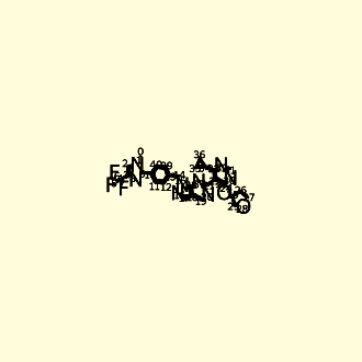 Cn1cc(C(F)(F)F)nc1-c1ccc(Cn2ncc3cnc(-c4c(OC5CCOC5)ncnc4C4CC4)nc32)cc1